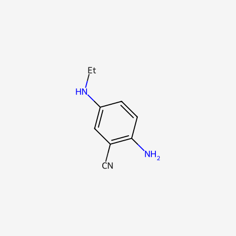 CCNc1ccc(N)c(C#N)c1